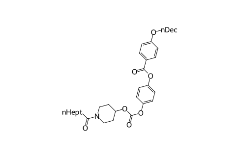 CCCCCCCCCCOc1ccc(C(=O)Oc2ccc(OC(=O)OC3CCN(C(=O)CCCCCCC)CC3)cc2)cc1